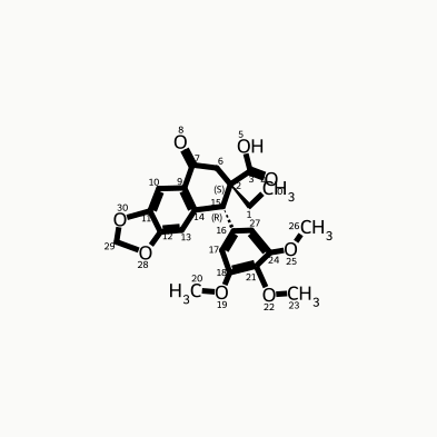 CC[C@]1(C(=O)O)CC(=O)c2cc3c(cc2[C@H]1c1cc(OC)c(OC)c(OC)c1)OCO3